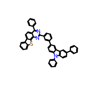 c1ccc(-c2ccc3c(c2)c2cc(-c4cccc(-c5nc(-c6ccccc6)c6ccc7c8ccccc8sc7c6n5)c4)ccc2n3-c2ccccc2)cc1